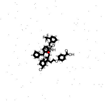 O=C(O)c1ccc(OCCc2c(CCNS(=O)(=O)Cc3ccccc3C(F)(F)F)n(C(c3ccccc3)c3ccccc3)c3ccc(Cl)cc23)cc1